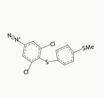 CSc1ccc(Sc2c(Cl)cc([N+]#N)cc2Cl)cc1